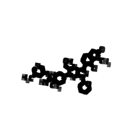 Cc1cncc(NC(=N)C2(C)CCN(c3nc4c(nc3CO)c(-c3ccc5c(c3Cl)N(C)C(=O)C5)nn4C3CCCCO3)CC2)c1